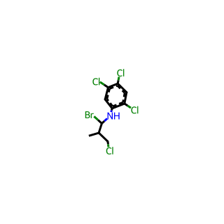 CC(CCl)C(Br)Nc1cc(Cl)c(Cl)cc1Cl